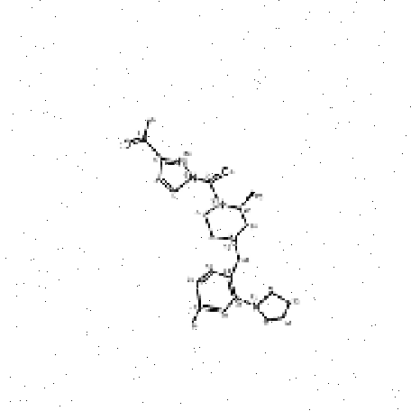 CC(=O)c1ccn(C(=O)N2CCN(Cc3ccc(C)cc3N3CCCC3)C[C@@H]2C)n1